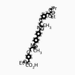 CCOC(Cc1ccc(OCCc2nc(-c3ccc(-c4ccc(-c5nc(CCOc6ccc(CC(OCC)C(=O)OC(C)C)cc6)c(C)o5)cc4)cc3)oc2C)cc1)C(=O)O